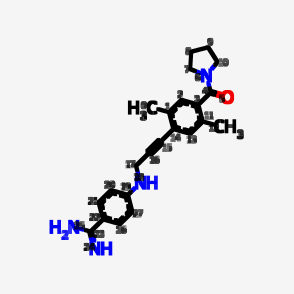 Cc1cc(C(=O)N2CCCC2)c(C)cc1C#CCNc1ccc(C(=N)N)cc1